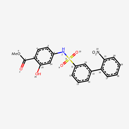 COC(=O)c1ccc(NS(=O)(=O)c2cccc(-c3ccccc3[N+](=O)[O-])c2)cc1O